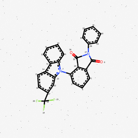 O=C1c2cccc(-n3c4ccccc4c4ccc(C(F)(F)F)cc43)c2C(=O)N1c1ccccc1